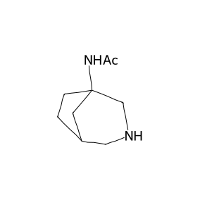 CC(=O)NC12CCC(CNC1)C2